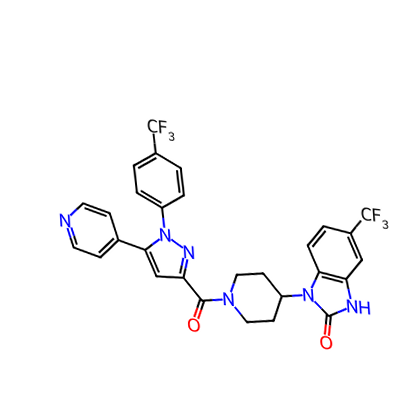 O=C(c1cc(-c2ccncc2)n(-c2ccc(C(F)(F)F)cc2)n1)N1CCC(n2c(=O)[nH]c3cc(C(F)(F)F)ccc32)CC1